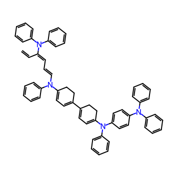 C=C/C(=C\C=C\N(C1=CC=C(C2=CC=C(N(c3ccccc3)c3ccc(N(c4ccccc4)c4ccccc4)cc3)CC2)CC1)c1ccccc1)N(c1ccccc1)c1ccccc1